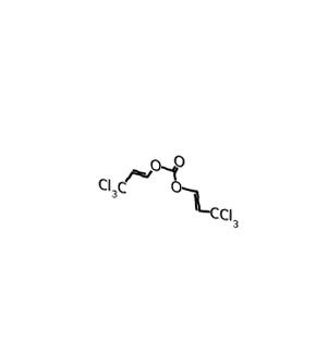 O=C(OC=CC(Cl)(Cl)Cl)OC=CC(Cl)(Cl)Cl